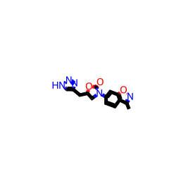 Cc1noc2cc(N3CC(Cc4c[nH]nn4)OC3=O)ccc12